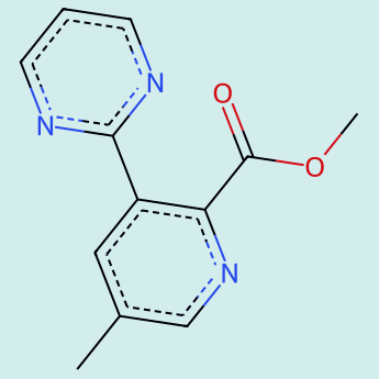 COC(=O)c1ncc(C)cc1-c1ncccn1